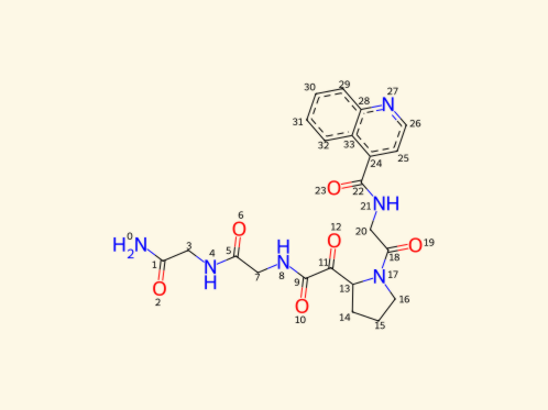 NC(=O)CNC(=O)CNC(=O)C(=O)C1CCCN1C(=O)CNC(=O)c1ccnc2ccccc12